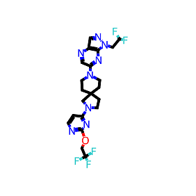 FC(F)Cn1ncc2ncc(N3CCC4(CCN(c5ccnc(OCC(F)(F)F)n5)C4)CC3)nc21